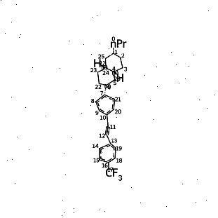 CCCC1CC[C@@H]2C[C@H](c3ccc(C#Cc4ccc(C(F)(F)F)cc4)cc3)CC[C@@H]2C1